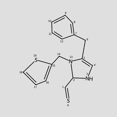 S=CC1NC=C(Cc2ccccc2)N1Cc1cccs1